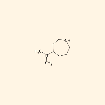 CN(C)C1CCCNCC1